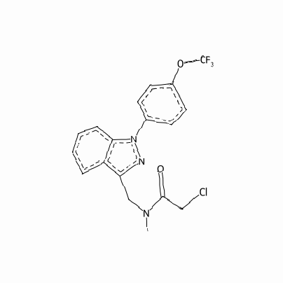 CN(Cc1nn(-c2ccc(OC(F)(F)F)cc2)c2ccccc12)C(=O)CCl